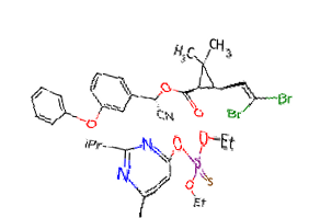 CC1(C)[C@H](C(=O)O[C@H](C#N)c2cccc(Oc3ccccc3)c2)[C@@H]1C=C(Br)Br.CCOP(=S)(OCC)Oc1cc(C)nc(C(C)C)n1